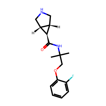 CC(C)(COc1ccccc1F)NC(=O)[C@H]1[C@@H]2CNC[C@@H]21